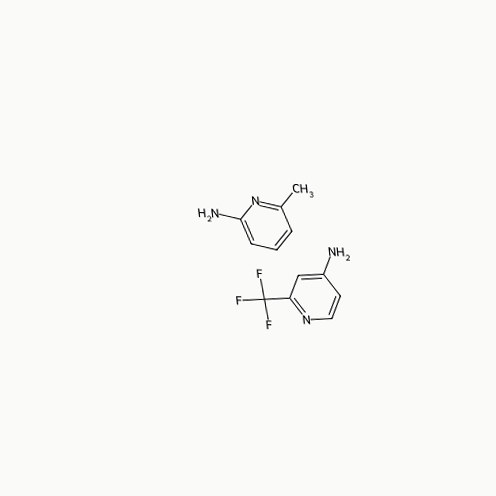 Cc1cccc(N)n1.Nc1ccnc(C(F)(F)F)c1